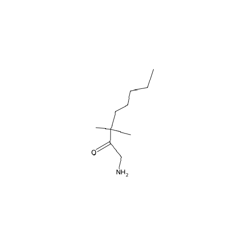 CCCCCC(C)(C)C(=O)CN